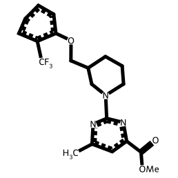 COC(=O)c1cc(C)nc(N2CCCC(COc3ccccc3C(F)(F)F)C2)n1